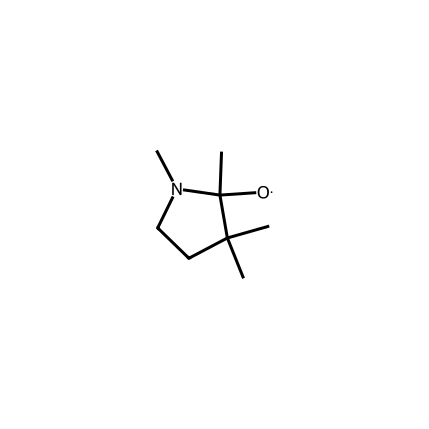 CN1CCC(C)(C)C1(C)[O]